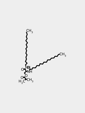 C=C(C)C(=O)OCC(NC(=O)CCCCCCCCCCCCCCCCC)C(=O)NCCCCCCCCCCCCCCCCCC